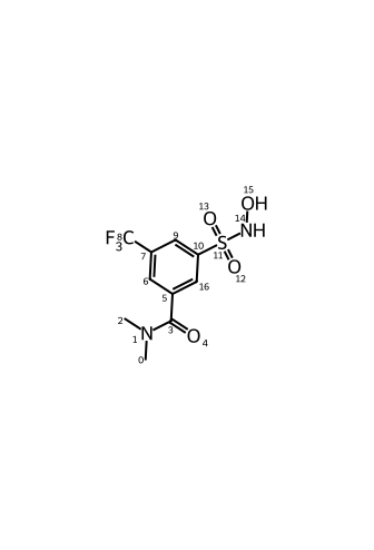 CN(C)C(=O)c1cc(C(F)(F)F)cc(S(=O)(=O)NO)c1